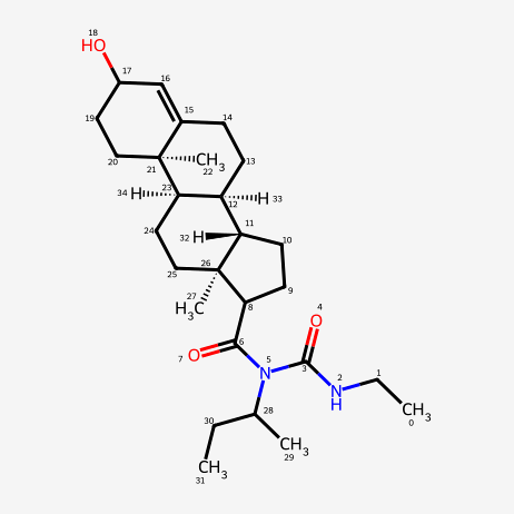 CCNC(=O)N(C(=O)C1CC[C@H]2[C@@H]3CCC4=CC(O)CC[C@]4(C)[C@@H]3CC[C@]12C)C(C)CC